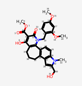 COC(=O)c1c(O)c2c(n(Cc3ccc(OC)cc3OC)c1=O)-c1ccc3c(cc(CO)n3C)c1CCC2